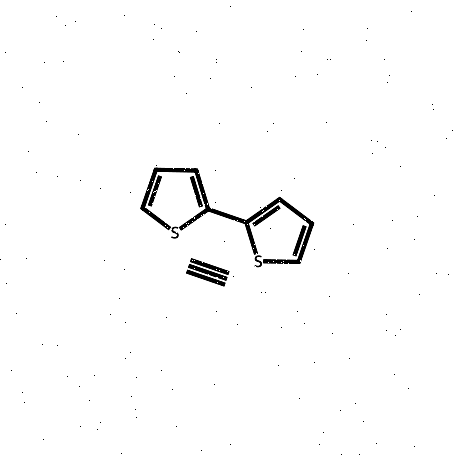 C#C.c1csc(-c2cccs2)c1